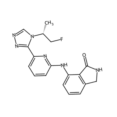 C[C@H](CF)n1cnnc1-c1cccc(Nc2cccc3c2C(=O)NC3)n1